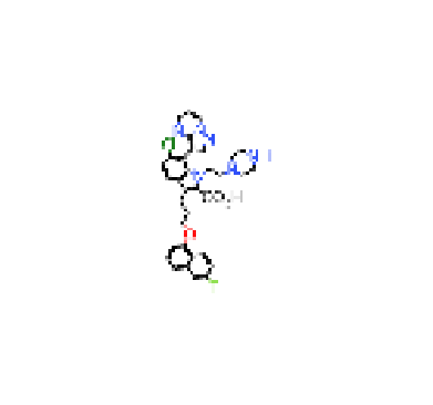 O=C(O)c1c(CCCOc2cccc3cc(F)ccc23)c2ccc(Cl)c(-c3cnn4cccnc34)c2n1CCN1CCNCC1